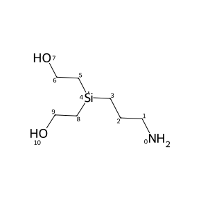 NCCC[Si](CCO)CCO